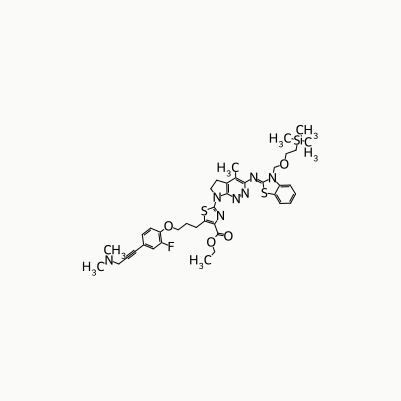 CCOC(=O)c1nc(N2CCc3c2nnc(/N=c2\sc4ccccc4n2COCC[Si](C)(C)C)c3C)sc1CCCOc1ccc(C#CCN(C)C)cc1F